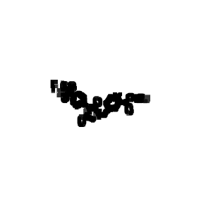 CC(C)(C)OC(=O)c1cc(CN2CC(=O)N(c3ccc(S(=O)(=O)C(F)(F)F)cc3)C2=O)ccn1